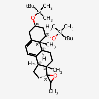 CC1O[C@@]12CC[C@H]1C3=CC=C4C[C@@H](O[Si](C)(C)C(C)(C)C)C[C@H](O[Si](C)(C)C(C)(C)C)[C@]4(C)[C@H]3CC[C@@]12C